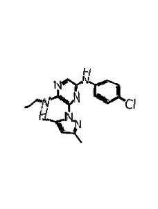 CCNc1ncc(Nc2ccc(Cl)cc2)nc1-n1nc(C)cc1C